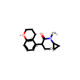 CCC(C(=O)N(C)C1CC1)c1cccc2c1CCCO2